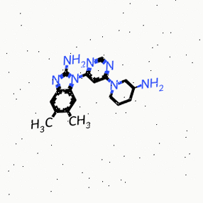 Cc1cc2nc(N)n(-c3cc(N4CCC[C@H](N)C4)ncn3)c2cc1C